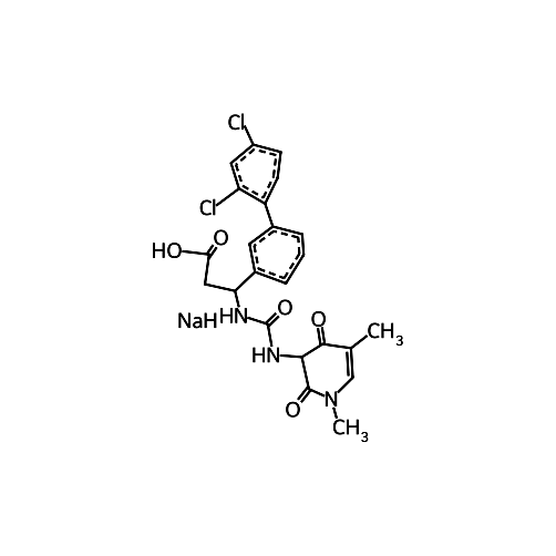 CC1=CN(C)C(=O)C(NC(=O)NC(CC(=O)O)c2cccc(-c3ccc(Cl)cc3Cl)c2)C1=O.[NaH]